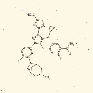 CC1CC2=CC(c3cc(-c4nn(-c5nc(C(=O)O)cs5)c(CC5CC5)c4Cc4ccc([S+](N)[O-])c(F)c4)ccc3F)C(C2)C1